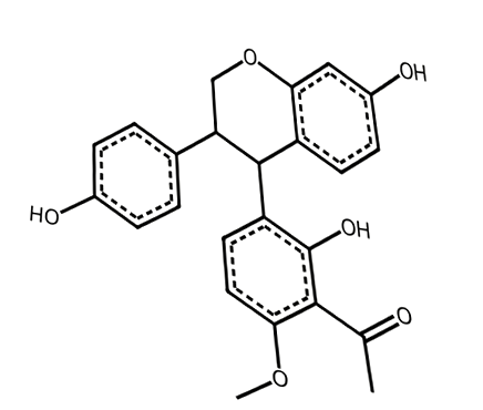 COc1ccc(C2c3ccc(O)cc3OCC2c2ccc(O)cc2)c(O)c1C(C)=O